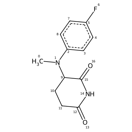 CN(c1ccc(F)cc1)C1CCC(=O)NC1=O